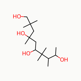 CC(O)C(C)C(C)(C)C(O)CC(C)(O)CC(C)(C)CO